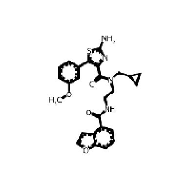 COc1cccc(-c2sc(N)nc2C(=O)N(CCNC(=O)c2cccc3occc23)CC2CC2)c1